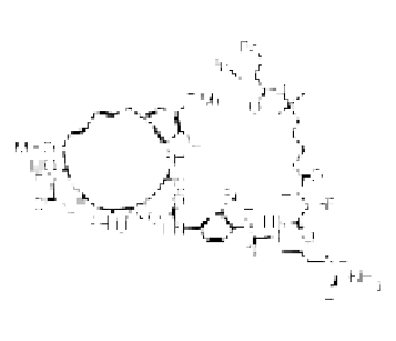 COc1cc2cc(c1Cl)N(C)C(=O)C[C@H](OC(=O)Nc1ccc(NC(=O)[C@H](CCCNC(N)=O)NC(=O)[C@@H](NC(=O)CCCCC(C)(C)OC(=O)C(CBr)CBr)C(C)C)c(Br)c1)[C@]1(C)O[C@H]1[C@H](C)[C@@H]1C[C@@](O)(NC(=O)O1)[C@H](OC)/C=C/C=C(\C)C2